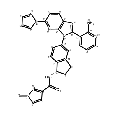 Cn1ccc(C(=O)N[C@H]2CCc3cc(-n4c(-c5cccnc5N)nc5ccc(-n6cccn6)nc54)ccc32)n1